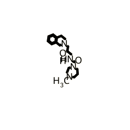 CN1CCCN(C(=O)NCC(O)CN2CCc3ccccc3C2)CC1